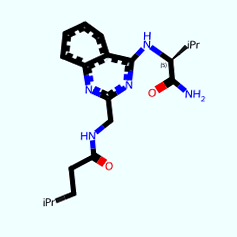 CC(C)CCC(=O)NCc1nc(N[C@H](C(N)=O)C(C)C)c2ccccc2n1